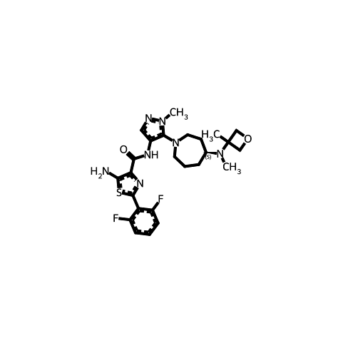 CN([C@H]1CCCN(c2c(NC(=O)c3nc(-c4c(F)cccc4F)sc3N)cnn2C)CC1)C1(C)COC1